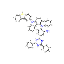 Nc1cc(-c2nc(-c3ccccc3)nc(-c3ccccc3)n2)ccc1-n1c2ccccc2c2ccc3c(c4ccccc4n3-c3ccc4sc5ccccc5c4c3)c21